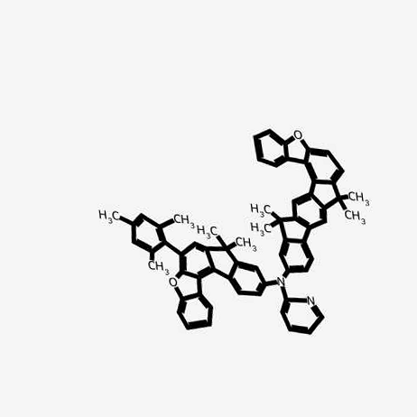 Cc1cc(C)c(-c2cc3c(c4c2oc2ccccc24)-c2ccc(N(c4ccc5c(c4)C(C)(C)c4cc6c(cc4-5)C(C)(C)c4ccc5oc7ccccc7c5c4-6)c4ccccn4)cc2C3(C)C)c(C)c1